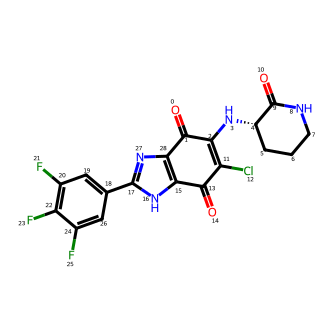 O=C1C(N[C@H]2CCCNC2=O)=C(Cl)C(=O)c2[nH]c(-c3cc(F)c(F)c(F)c3)nc21